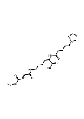 COC(=O)/C=C/C(=O)NCCCCC(NC(=O)CCCC[C@@H]1CCSS1)C(=O)O